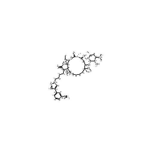 CC[C@H]1OC(=O)[C@H](C)C(=O)[C@H](C)[C@@H](O[C@@H]2O[C@H](C)CC(N(C)C)C2O)[C@](C)(OC)CCCN[C@@H](C)[C@H]2N(CCCCn3cc(-c4cccc(N)c4)nn3)C(=O)O[C@]12C